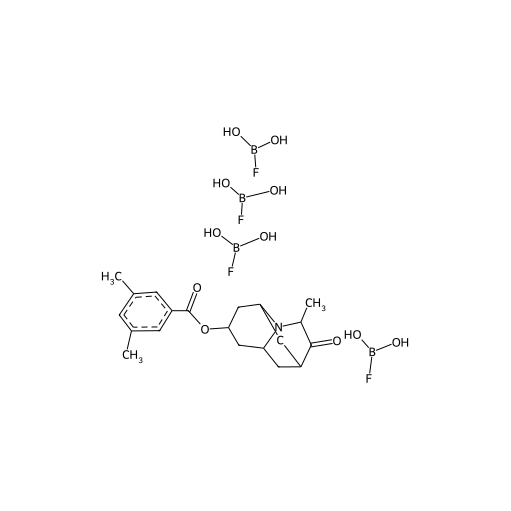 Cc1cc(C)cc(C(=O)OC2CC3CC4CC(C2)N3C(C)C4=O)c1.OB(O)F.OB(O)F.OB(O)F.OB(O)F